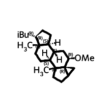 CC[C@@H](C)[C@H]1CC[C@H]2[C@@H]3C[C@@H](OC)[C@]45CC4CC[C@]5(C)[C@H]3CC[C@]12C